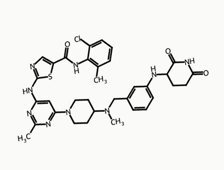 Cc1nc(Nc2ncc(C(=O)Nc3c(C)cccc3Cl)s2)cc(N2CCC(N(C)Cc3cccc(NC4CCC(=O)NC4=O)c3)CC2)n1